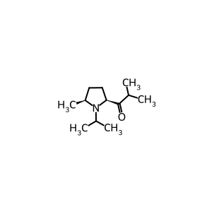 CC(C)C(=O)[C@@H]1CC[C@H](C)N1C(C)C